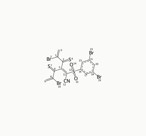 C=C(Br)C(=S)C(C(=S)C(=C)Br)=C(C#N)S(=O)(=O)c1cc(Br)cc(Br)c1